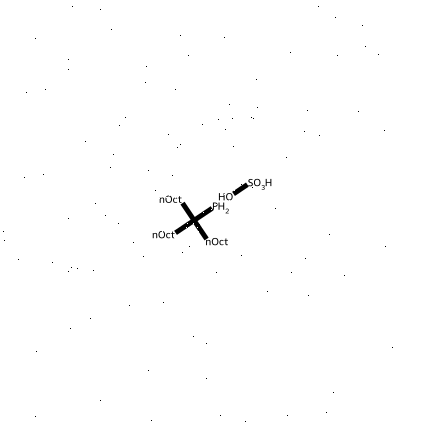 CCCCCCCCC(P)(CCCCCCCC)CCCCCCCC.O=S(=O)(O)O